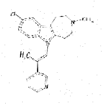 C/C(=C\n1c2c(c3cc(Cl)ccc31)CCN(C)CC2)c1cccnc1